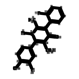 CCn1c(C)c(-c2ccccc2F)c(=O)c(C(=O)O)c1-c1ccc(Cl)c(Cl)c1